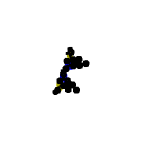 CC1C2=C(C=CC1Sc1ccc([C@@]3(c4ccccc4)c4cc(-c5ccccc5)ccc4-c4ccc(N(c5ccccc5)c5ccc(C6(C)C=CC(N(c7ccccc7)c7ccc8c(c7)[C@](c7ccccc7)(c7ccc(Sc9ccc%10c(c9)CC%10)cc7)c7cc(-c9ccccc9)ccc7-8)=CC6)cc5)cc43)cc1)CC2